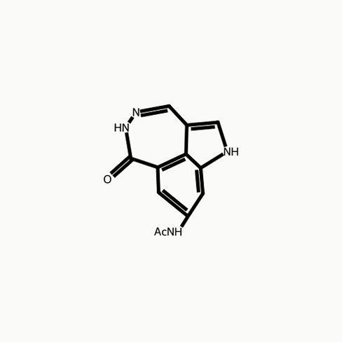 CC(=O)Nc1cc2c3c(c[nH]c3c1)C=NNC2=O